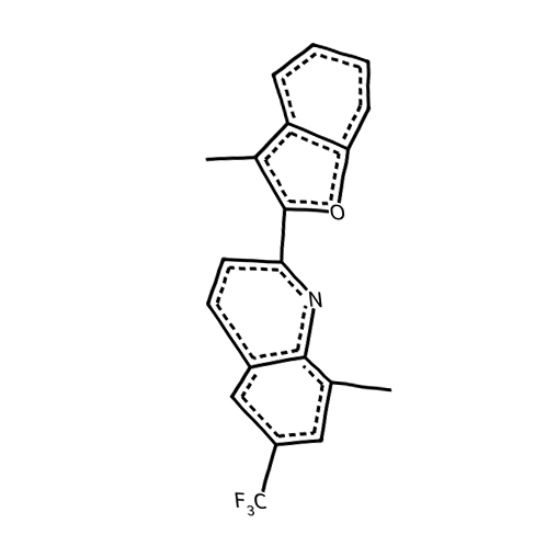 Cc1c(-c2ccc3cc(C(F)(F)F)cc(C)c3n2)oc2ccccc12